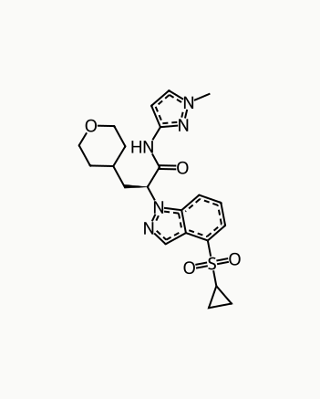 Cn1ccc(NC(=O)[C@H](CC2CCOCC2)n2ncc3c(S(=O)(=O)C4CC4)cccc32)n1